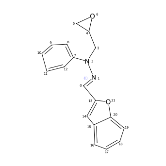 C(=N\N(CC1CO1)c1ccccc1)/c1cc2ccccc2o1